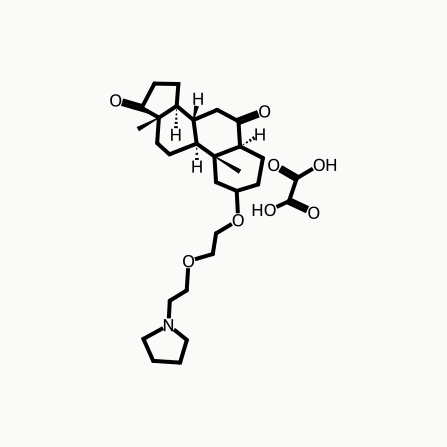 C[C@]12CC(OCCOCCN3CCCC3)CC[C@@H]1C(=O)C[C@@H]1[C@@H]2CC[C@]2(C)C(=O)CC[C@@H]12.O=C(O)C(=O)O